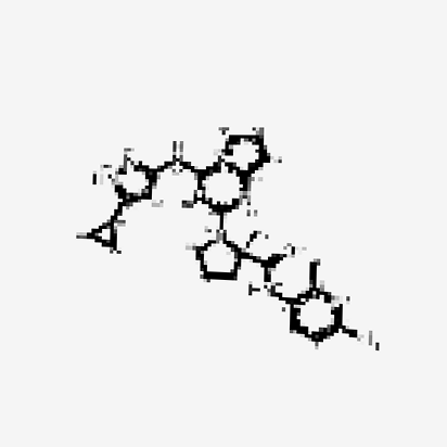 Cc1nc(Cl)ccc1NC(=O)[C@]1(C)CCCN1c1nc(Nc2cc(C3CC3)[nH]n2)n2cccc2n1